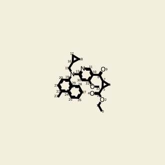 CCOC(=O)C1CC1C(=O)c1cnc(N(CC2CC2)c2ccc(C)c3ccccc23)cc1OC